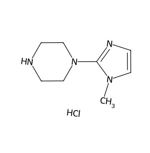 Cl.Cn1ccnc1N1CCNCC1